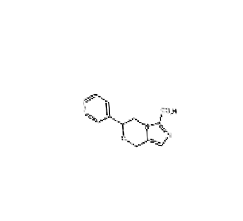 O=C(O)c1ncc2n1CC(c1ccccc1)OC2